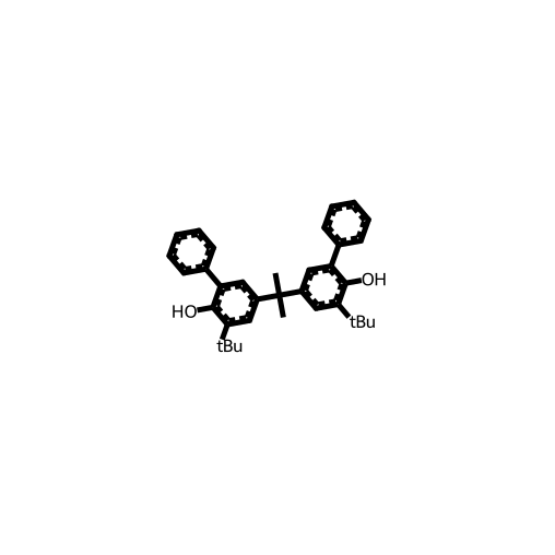 CC(C)(C)c1cc(C(C)(C)c2cc(-c3ccccc3)c(O)c(C(C)(C)C)c2)cc(-c2ccccc2)c1O